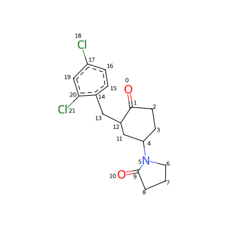 O=C1CCC(N2CCCC2=O)CC1Cc1ccc(Cl)cc1Cl